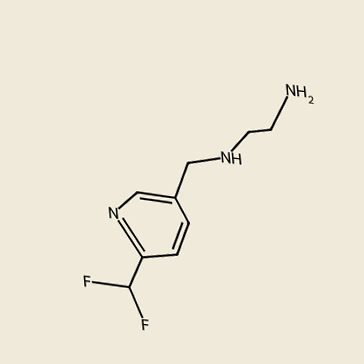 NCCNCc1ccc(C(F)F)nc1